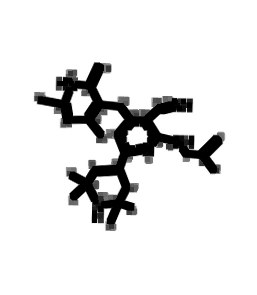 C=C(C)CNc1nc(C2=CC(C)(C)NC(C)(C)C2)cc(CC2=C(C)C=C(C)NC2=C)c1C=N